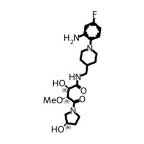 CO[C@@H](C(=O)N1CC[C@@H](O)C1)[C@@H](O)C(=O)NCC1CCN(c2ccc(F)cc2N)CC1